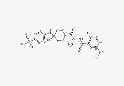 CC1(Nc2ccc(S(C)(=O)=O)cc2)CCN(C(=O)[C@@H](O)NC(=O)c2cc(OC(F)(F)F)ccc2F)CC1